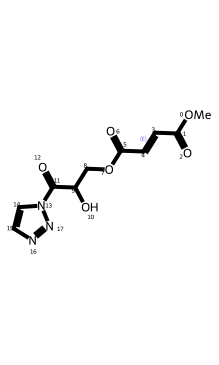 COC(=O)/C=C/C(=O)OCC(O)C(=O)n1ccnn1